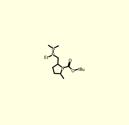 CCN(CC1CCC(C)N1C(=O)OC(C)(C)C)N(C)C